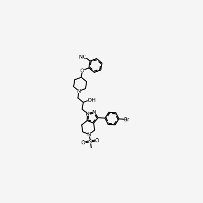 CS(=O)(=O)N1CCc2c(c(-c3ccc(Br)cc3)nn2CC(O)CN2CCC(Oc3ccccc3C#N)CC2)C1